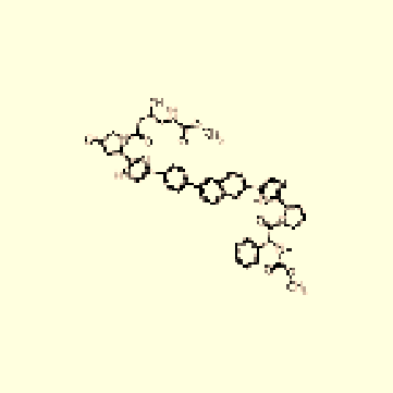 COC(=O)NCC(C)CC(=O)N1CC(=O)CC1c1nc(-c2ccc(-c3ccc4cc(-c5cnc(C6CCCN6C(=O)C(NC(=O)OC)c6ccccc6)[nH]5)ccc4c3)cc2)c[nH]1